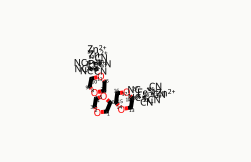 C1COCCO1.C1COCCO1.C1COCCO1.N#[C][Fe-3]([C]#N)([C]#N)([C]#N)([C]#N)[C]#N.N#[C][Fe-3]([C]#N)([C]#N)([C]#N)([C]#N)[C]#N.[Zn+2].[Zn+2].[Zn+2]